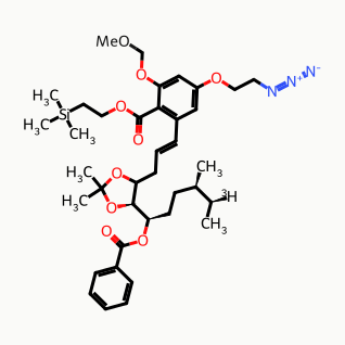 [3H][C@@H](C)[C@H](C)CC[C@@H](OC(=O)c1ccccc1)[C@H]1OC(C)(C)OC1C/C=C/c1cc(OCCN=[N+]=[N-])cc(OCOC)c1C(=O)OCC[Si](C)(C)C